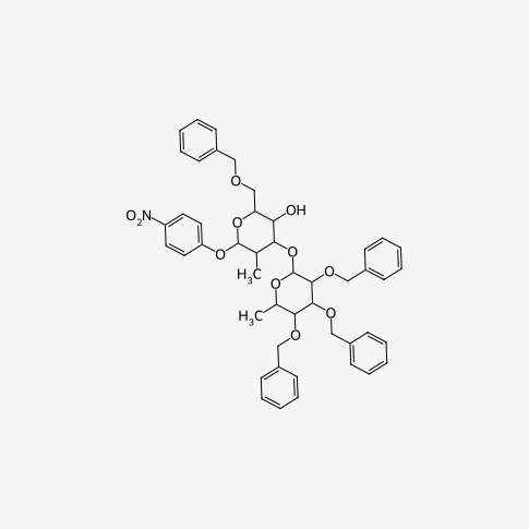 CC1OC(OC2C(C)C(Oc3ccc([N+](=O)[O-])cc3)OC(COCc3ccccc3)C2O)C(OCc2ccccc2)C(OCc2ccccc2)C1OCc1ccccc1